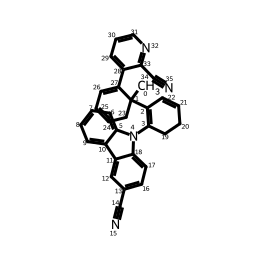 CC1(C2=C(n3c4ccccc4c4cc(C#N)ccc43)CCC=C2)CC=CC=C1c1cccnc1C#N